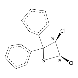 Cl[C@H]1SC(c2ccccc2)(c2ccccc2)[C@H]1Cl